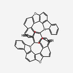 N#Cc1cc(-n2c3ccccc3c3ccc4oc5ccc6ccccc6c5c4c32)c(C#N)cc1-n1c2ccccc2c2ccc3oc4ccc5ccccc5c4c3c21